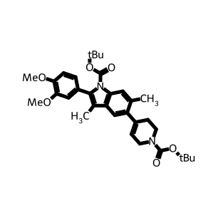 COc1ccc(-c2c(C)c3cc(C4=CCN(C(=O)OC(C)(C)C)CC4)c(C)cc3n2C(=O)OC(C)(C)C)cc1OC